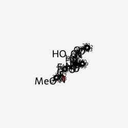 COc1ccc2c(Oc3ccc(NC(=O)c4c(C)n(CC(C)[C@H](C(=O)O)N(C)C(=O)OCc5ccccc5)n(-c5ccccc5)c4=O)cc3F)ccnc2c1